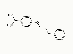 CC(N)c1ccc(OCCCc2ccccc2)cc1